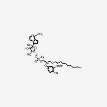 CCCCCCCCCCCCCCCCCCOC[C@H](COP(=O)(O)OC[C@H]1O[C@@](C#N)(c2ccc3c(N)ncnn23)[C@H](O)[C@@H]1O)Oc1ccc(C#N)c(OC)c1